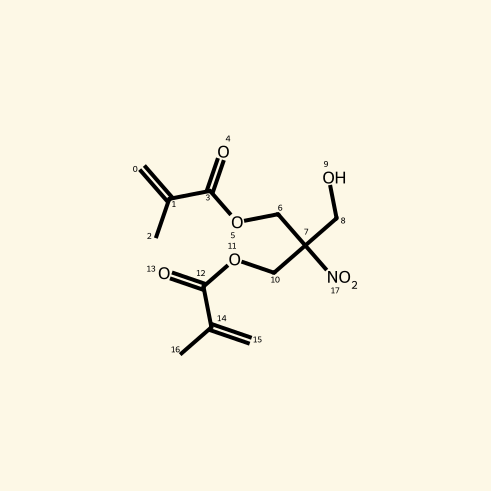 C=C(C)C(=O)OCC(CO)(COC(=O)C(=C)C)[N+](=O)[O-]